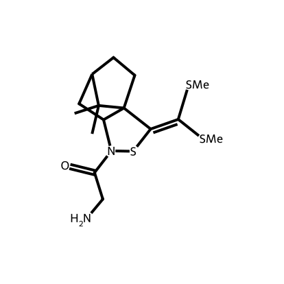 CSC(SC)=C1SN(C(=O)CN)C2CC3CCC12C3(C)C